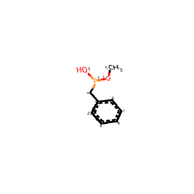 COP(O)Cc1ccccc1